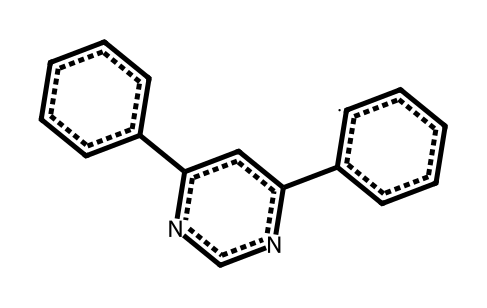 [c]1ccccc1-c1cc(-c2ccccc2)ncn1